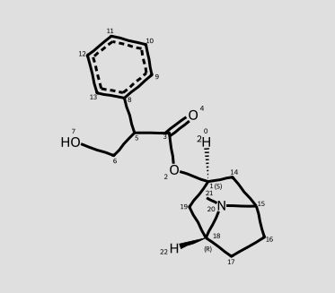 [2H][C@]1(OC(=O)C(CO)c2ccccc2)CC2CC[C@H](C1)N2C